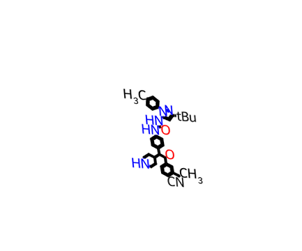 Cc1ccc(-n2nc(C(C)(C)C)cc2NC(=O)Nc2ccc(C(C(=O)c3cccc([C@H](C)C#N)c3)C3CCNCC3)cc2)cc1